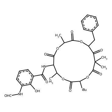 CCC(C)C1OC(=O)C(C)(C)C(=O)C(Cc2ccccc2)OC(=O)C(C)OC(=O)C(NC(=O)c2cccc(NC=O)c2O)C(C)OC1=O